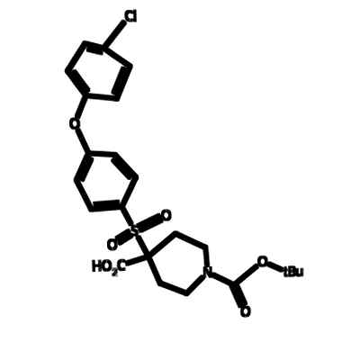 CC(C)(C)OC(=O)N1CCC(C(=O)O)(S(=O)(=O)c2ccc(Oc3ccc(Cl)cc3)cc2)CC1